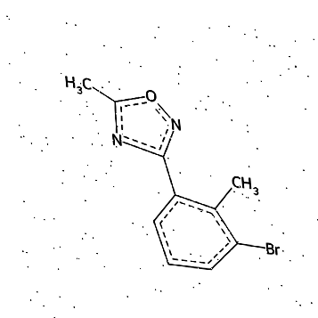 Cc1nc(-c2cccc(Br)c2C)no1